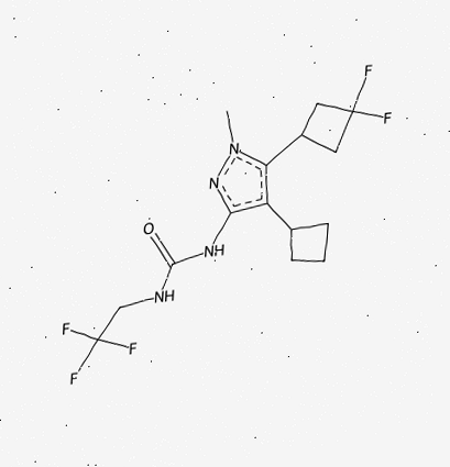 Cn1nc(NC(=O)NCC(F)(F)F)c(C2CCC2)c1C1CC(F)(F)C1